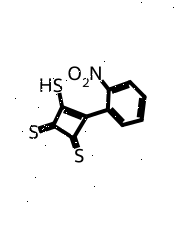 O=[N+]([O-])c1ccccc1-c1c(S)c(=S)c1=S